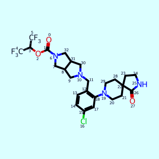 O=C(OC(C(F)(F)F)C(F)(F)F)N1CC2CN(Cc3ccc(Cl)cc3N3CCC4(CCNC4=O)CC3)CC2C1